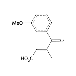 COc1cccc(C(=O)C(C)=CC(=O)O)c1